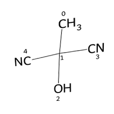 CC(O)(C#N)C#N